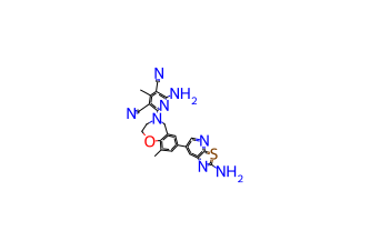 Cc1cc(-c2cnc3sc(N)nc3c2)cc2c1OCCN(c1nc(N)c(C#N)c(C)c1C#N)C2